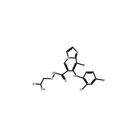 CCC(O)CONC(=O)c1cn2ccnc2c(F)c1Nc1ccc(Br)cc1Cl